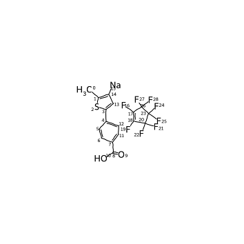 Cc1sc(-c2ccc(C(=O)O)cc2)c[c]1[Na].FC1=C(F)C(F)(F)C(F)(F)C1(F)F